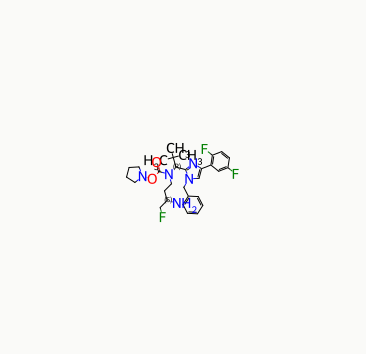 CC(C)(C)[C@H](c1nc(-c2cc(F)ccc2F)cn1Cc1ccccc1)N(CC[C@H](N)CF)C(=O)ON1CCCC1